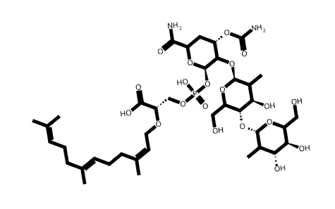 CC(C)=CCC/C(C)=C/CC/C(C)=C\CO[C@@H](COP(=O)(O)O[C@H]1OC(C(N)=O)C[C@H](OC(N)=O)C1O[C@@H]1OC(CO)[C@@H](O[C@@H]2OC(CO)[C@@H](O)[C@H](O)C2C)[C@H](O)C1C)C(=O)O